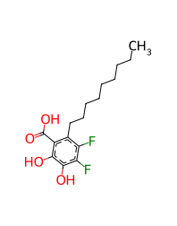 CCCCCCCCCc1c(F)c(F)c(O)c(O)c1C(=O)O